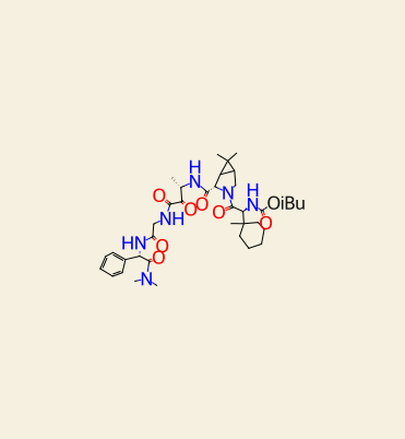 CC(C)COC(=O)N[C@H](C(=O)N1CC2C([C@H]1C(=O)N[C@@H](C)C(=O)C(=O)NCC(=O)N[C@H](C(=O)N(C)C)c1ccccc1)C2(C)C)C1(C)CCCCC1